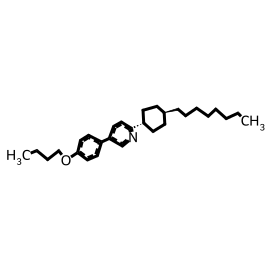 CCCCCCCC[C@H]1CC[C@H](c2ccc(-c3ccc(OCCCC)cc3)cn2)CC1